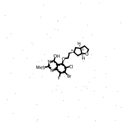 CSc1nc(O)c2c(OCC[C@H]3C[C@H]4CCO[C@H]4C3)c(Cl)c(Br)c(F)c2n1